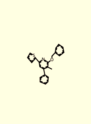 Cc1c(-c2ccccc2)cc(-c2cccs2)nc1OCc1ccccc1